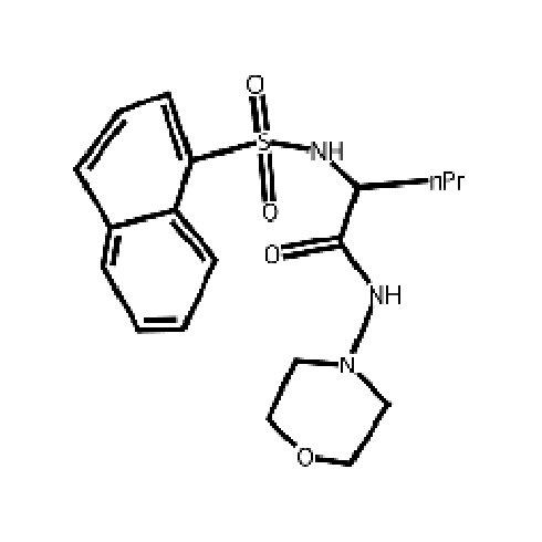 CCCC(NS(=O)(=O)c1cccc2ccccc12)C(=O)NN1CCOCC1